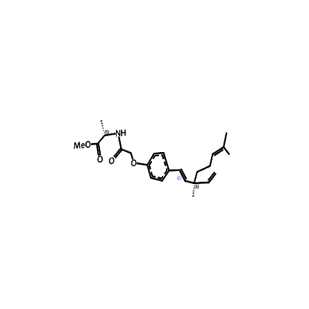 C=C[C@@](C)(/C=C/c1ccc(OCC(=O)N[C@@H](C)C(=O)OC)cc1)CCC=C(C)C